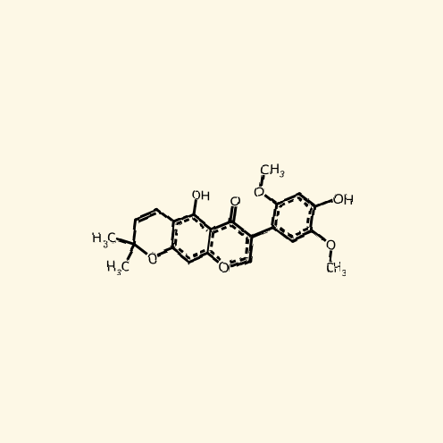 COc1cc(-c2coc3cc4c(c(O)c3c2=O)C=CC(C)(C)O4)c(OC)cc1O